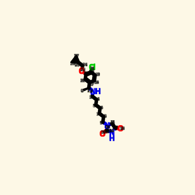 C[C@H](NCCCCCCCN1CC(=O)NC1=O)c1ccc(Cl)c(OCC2CC2)c1